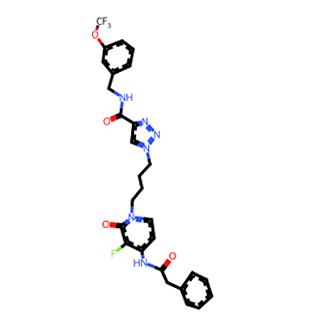 O=C(Cc1ccccc1)Nc1ccn(CCCCn2cc(C(=O)NCc3cccc(OC(F)(F)F)c3)nn2)c(=O)c1F